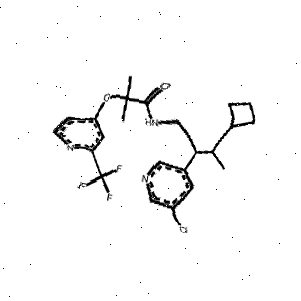 CC(C1CCC1)C(CNC(=O)C(C)(C)Oc1ccnc(C(F)(F)F)c1)c1cncc(Cl)c1